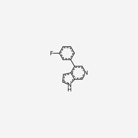 Fc1cccc(-c2cncc3[nH]ccc23)c1